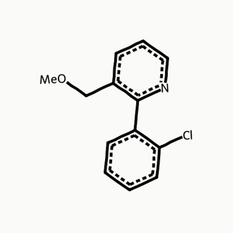 COCc1cccnc1-c1ccccc1Cl